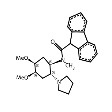 CO[C@H]1C[C@@H](N(C)C(=O)C2c3ccccc3-c3ccccc32)[C@H](N2CCCC2)C[C@H]1OC